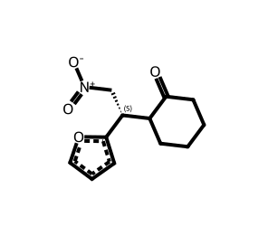 O=C1CCCCC1[C@@H](C[N+](=O)[O-])c1ccco1